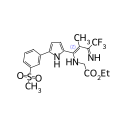 CCOC(=O)CN/C(=C(/C)C(=N)C(F)(F)F)c1ccc(-c2cccc(S(C)(=O)=O)c2)[nH]1